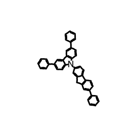 c1ccc(-c2ccc3c(c2)Cc2cc(-n4c5ccc(-c6ccccc6)cc5c5cc(-c6ccccc6)ccc54)ccc2-3)cc1